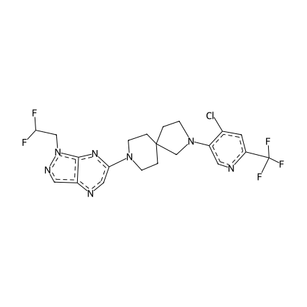 FC(F)Cn1ncc2ncc(N3CCC4(CC3)CCN(c3cnc(C(F)(F)F)cc3Cl)C4)nc21